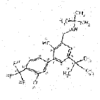 CC(C)(C)NCc1cc(C(C)(C)C)cc(-c2ccc(C(F)(F)F)c(Cl)c2)c1O